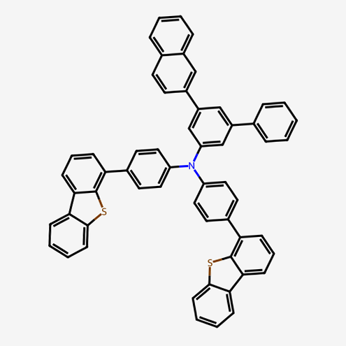 c1ccc(-c2cc(-c3ccc4ccccc4c3)cc(N(c3ccc(-c4cccc5c4sc4ccccc45)cc3)c3ccc(-c4cccc5c4sc4ccccc45)cc3)c2)cc1